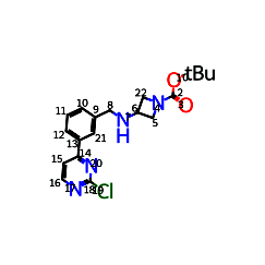 CC(C)(C)OC(=O)N1CC(NCc2cccc(-c3ccnc(Cl)n3)c2)C1